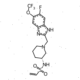 C=CS(=O)(=O)N[C@@H]1CCCN(Cc2nc3cc(OC(F)(F)F)c(F)cc3[nH]2)C1